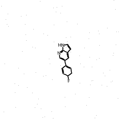 FC1C=CC(c2cnc3[nH]ccc3c2)=CC1